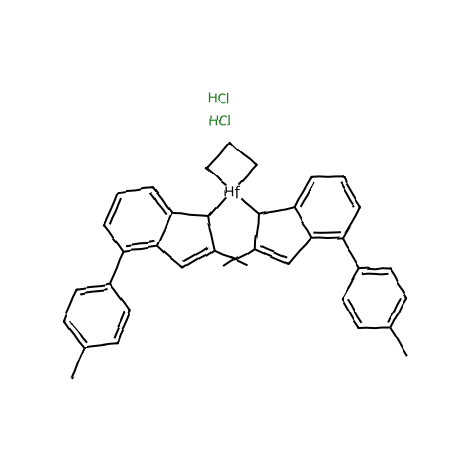 CC1=Cc2c(-c3ccc(C)cc3)cccc2[CH]1[Hf]1([CH]2C(C)=Cc3c(-c4ccc(C)cc4)cccc32)[CH2]C[CH2]1.Cl.Cl